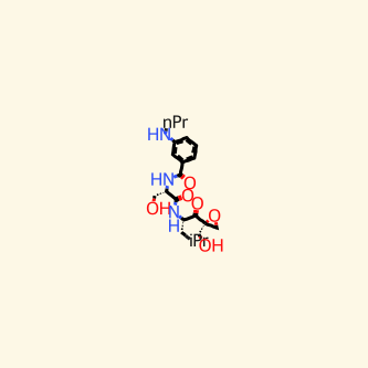 CCCNc1cccc(C(=O)N[C@@H](CO)C(=O)N[C@@H](CC(C)C)C(=O)[C@]2(CO)CO2)c1